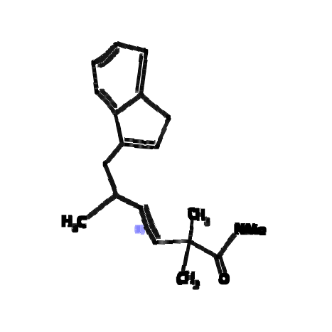 CNC(=O)C(C)(C)/C=C/C(C)CC1=CCc2ccccc21